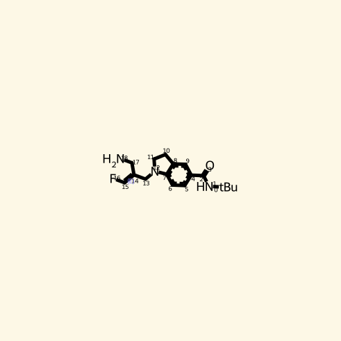 CC(C)(C)NC(=O)c1ccc2c(c1)CCN2C/C(=C/F)CN